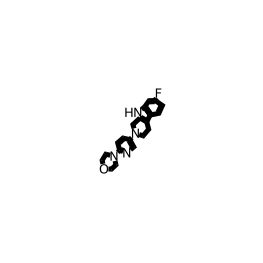 Fc1ccc2c3c([nH]c2c1)CN(c1ccc(N2CCOCC2)nc1)CC3